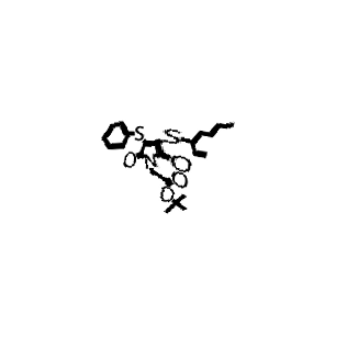 C=C/C(=C\C=C\C)SC1=C(Sc2ccccc2)C(=O)N(CC(=O)OC(C)(C)C)C1=O